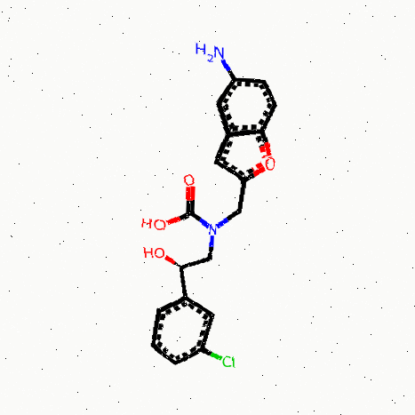 Nc1ccc2oc(CN(C[C@H](O)c3cccc(Cl)c3)C(=O)O)cc2c1